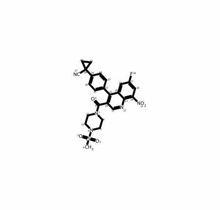 CS(=O)(=O)N1CCN(C(=O)c2cnc3c([N+](=O)[O-])cc(F)cc3c2-c2ccc(C3(C#N)CC3)cc2)CC1